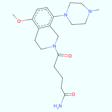 COc1ccc(N2CCN(C)CC2)c2c1CCN(C(=O)CCCC(N)=O)C2